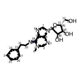 Cn1cnc2c(ncn2[C@@H]2O[C@H](CO)[C@@H](O)[C@H]2O)/c1=N/CCc1ccccc1